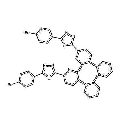 CC(C)(C)c1ccc(-c2nnc(-c3ccc4/c(n3)=c3/nc(-c5nnc(-c6ccc(C(C)(C)C)cc6)o5)cc/c3=c3\cccc\c3=c3/cccc/c3=4)o2)cc1